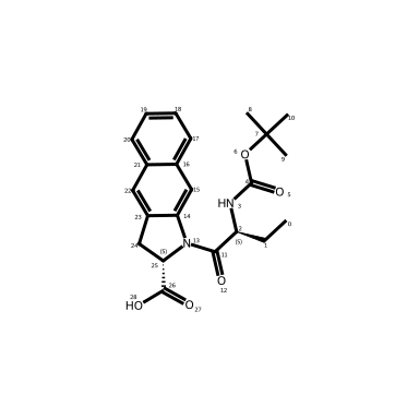 CC[C@H](NC(=O)OC(C)(C)C)C(=O)N1c2cc3ccccc3cc2C[C@H]1C(=O)O